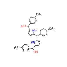 CC1=CC=C(C(c2ccc(C(O)c3ccc(C)cc3)[nH]2)c2ccc(C(O)c3ccc(C)cc3)[nH]2)CC1